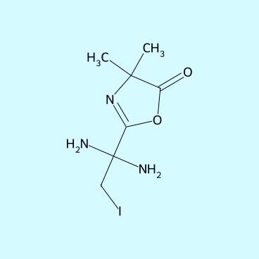 CC1(C)N=C(C(N)(N)CI)OC1=O